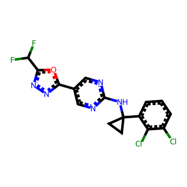 FC(F)c1nnc(-c2cnc(NC3(c4cccc(Cl)c4Cl)CC3)nc2)o1